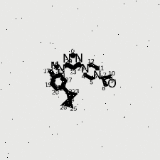 c1nc(N2CCN(C3COC3)CC2)cc(-n2ncc3ccc(C4CC45CC5)cc32)n1